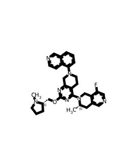 C[C@H]1Cc2cncc(F)c2CN1c1nc(OC[C@@H]2CCCN2C)nc2c1CCN(c1cccc3cnccc13)C2